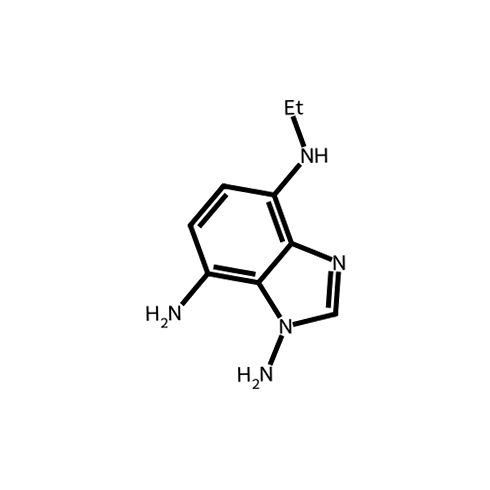 CCNc1ccc(N)c2c1ncn2N